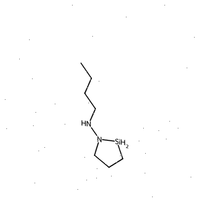 CCCCNN1CCC[SiH2]1